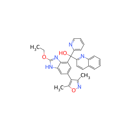 CCOc1nc2c(C(O)(c3ccccn3)c3ccc4ccccc4n3)cc(-c3c(C)noc3C)cc2[nH]1